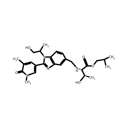 Cc1cc(-c2nc3cc(CN[C@H](C(=O)OCC(C)C)[C@@H](C)O)ccc3n2C(C)CO)cn(C)c1=O